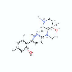 Cc1cc(C)c(-c2ccc(N3CCO[C@@H]4CCN(C)C[C@@H]43)nn2)c(O)c1